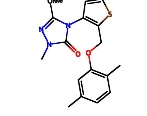 COc1nn(C)c(=O)n1-c1ccsc1COc1cc(C)ccc1C